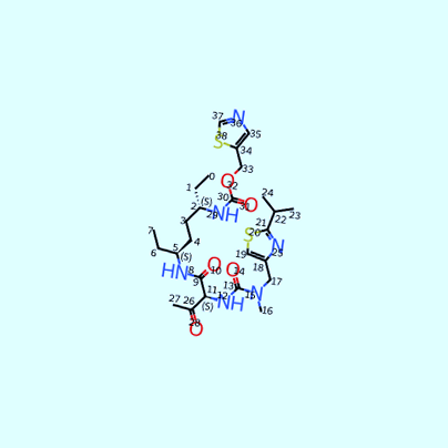 CC[C@@H](CC[C@H](CC)NC(=O)[C@@H](NC(=O)N(C)Cc1csc(C(C)C)n1)C(C)=O)NC(=O)OCc1cncs1